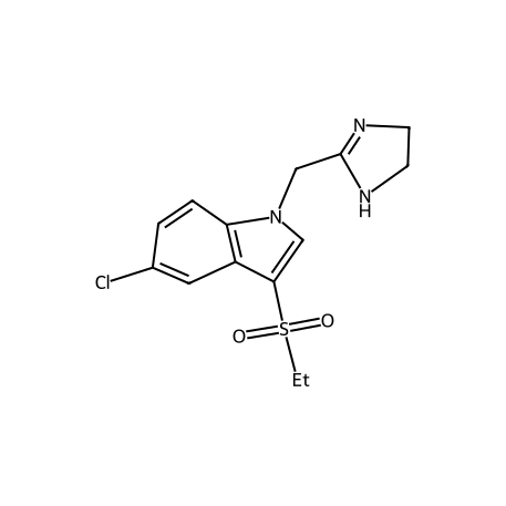 CCS(=O)(=O)c1cn(CC2=NCCN2)c2ccc(Cl)cc12